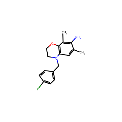 Cc1cc2c(c(C)c1N)OCCN2Cc1ccc(F)cc1